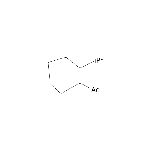 CC(=O)C1CCCCC1C(C)C